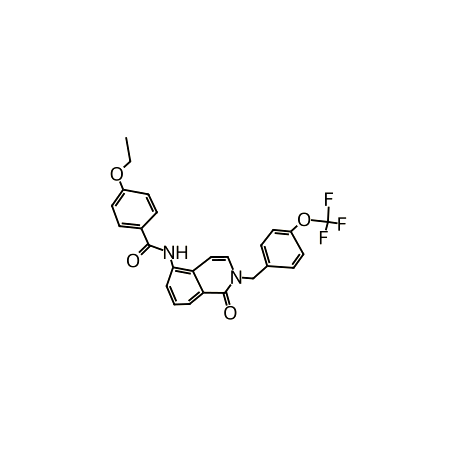 CCOc1ccc(C(=O)Nc2cccc3c(=O)n(Cc4ccc(OC(F)(F)F)cc4)ccc23)cc1